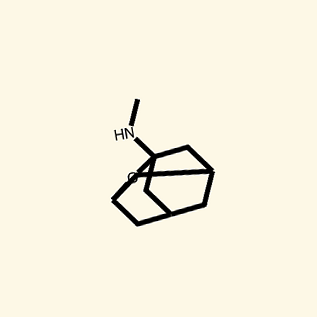 CNC12CC3CC(CC(C3)O1)C2